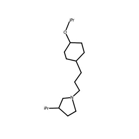 CC(C)OC1CCC(CCCN2CCC(C(C)C)C2)CC1